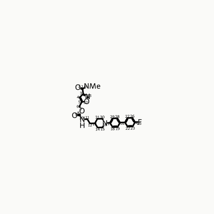 CNC(=O)c1cc(COC(=O)NCCC2CCN(c3ccc(-c4ccc(F)cc4)cc3)CC2)on1